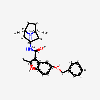 Cc1oc2ccc(OCc3ccccc3)cc2c1C(=O)NC1C[C@H]2CC[C@@H](C1)N2